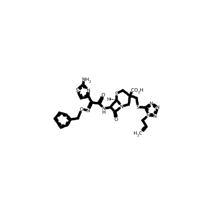 C=CCn1nnnc1SCC1(C(=O)O)CS[C@@H]2C(NC(=O)C(=NOCc3ccccc3)c3csc(N)n3)C(=O)N2C1